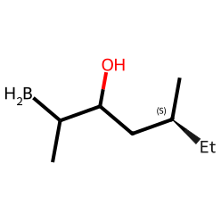 BC(C)C(O)C[C@@H](C)CC